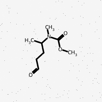 COC(=O)N(C)C(C)CCC=O